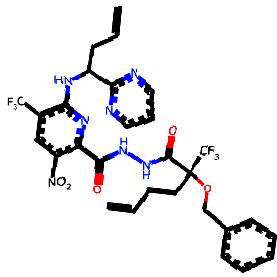 C=CCC[C@@](OCc1ccccc1)(C(=O)NNC(=O)c1nc(NC(CC=C)c2ncccn2)c(C(F)(F)F)cc1[N+](=O)[O-])C(F)(F)F